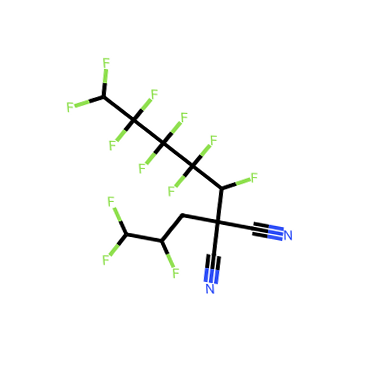 N#CC(C#N)(CC(F)C(F)F)C(F)C(F)(F)C(F)(F)C(F)(F)C(F)F